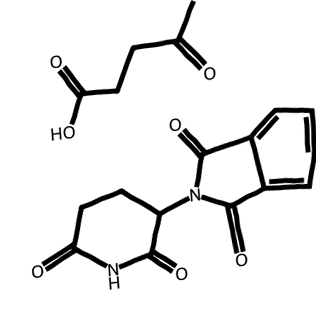 O=C(O)CCC(=O)O.O=C1CCC(N2C(=O)c3ccccc3C2=O)C(=O)N1